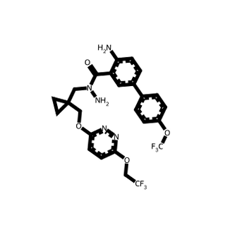 Nc1ccc(-c2ccc(OC(F)(F)F)cc2)cc1C(=O)N(N)CC1(COc2ccc(OCC(F)(F)F)nn2)CC1